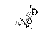 CC(C)(C#N)[C@H]1CC[C@@H](c2cccc(F)c2)N1